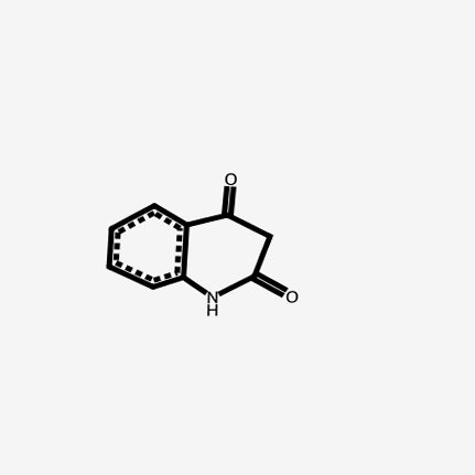 O=C1CC(=O)c2ccccc2N1